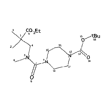 CCOC(=O)C(C)(C)CN(C)C(=O)N1CCN(C(=O)OC(C)(C)C)CC1